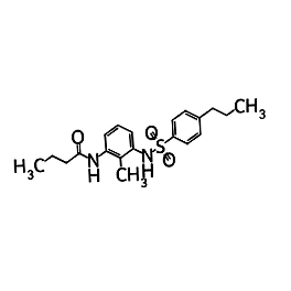 CCCC(=O)Nc1cccc(NS(=O)(=O)c2ccc(CCC)cc2)c1C